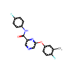 O=C(Nc1ccc(F)cc1)c1cncc(Oc2ccc(F)c(C(F)(F)F)c2)n1